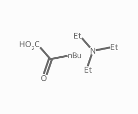 CCCCC(=O)C(=O)O.CCN(CC)CC